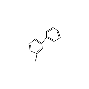 Fc1cncc(-c2cc[c]cc2)c1